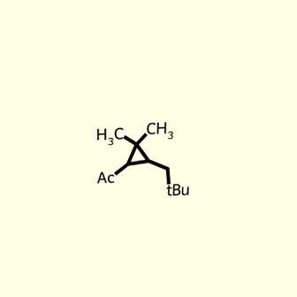 CC(=O)C1C(CC(C)(C)C)C1(C)C